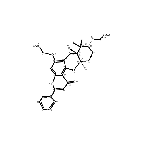 COCOc1cc2oc(-c3ccccc3)cc(=O)c2c2c1C[C@@H]1C(C)(C)[C@H](OCOC)CC[C@@]1(C)O2